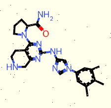 Cc1cc(-n2cnc(Nc3nc4c(c(N5CCCC5C(N)=O)n3)CCNC4)c2)cc(C)c1C